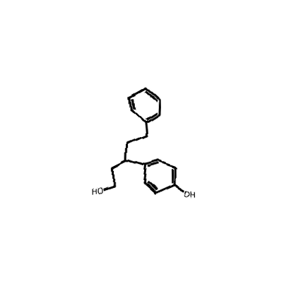 OCCC(CCc1ccccc1)c1ccc(O)cc1